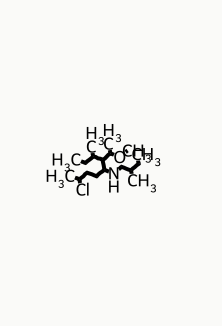 CCC(C)CNC(CCC(C)Cl)C(C(C)CC)C(C)OC